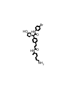 C=C(/C=C\C=C/CN)NC(=O)/C=C/c1ccc(C(C(=O)Nc2ccc(Br)cc2)N2CC[C@H](O)C2)cc1